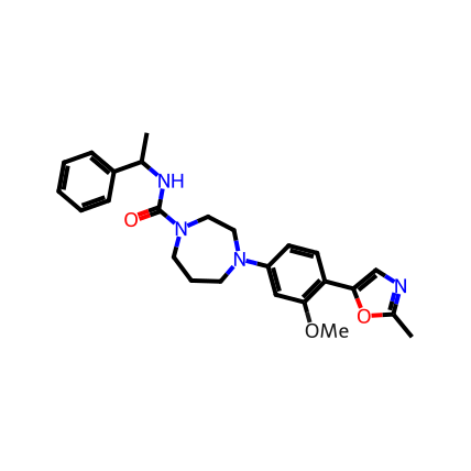 COc1cc(N2CCCN(C(=O)NC(C)c3ccccc3)CC2)ccc1-c1cnc(C)o1